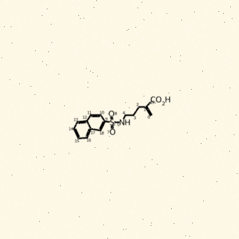 C=C(CCCNS(=O)(=O)c1ccc2ccccc2c1)C(=O)O